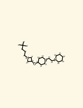 CC(C)(C)CCCN1CC(OC2CCN(CCN3CCCCC3)CC2)C1